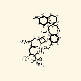 CC(CC(=O)N(C)C[C@@H]1CC[C@H]1CN1C[C@@]2(CCCc3cc(Cl)ccc32)COc2ccc(C(=O)O)cc21)C(C)S(N)(=O)=O